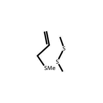 C=CCSC.CSSC